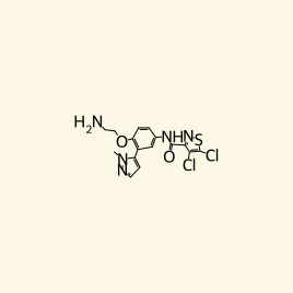 Cn1nccc1-c1cc(NC(=O)c2nsc(Cl)c2Cl)ccc1OCCN